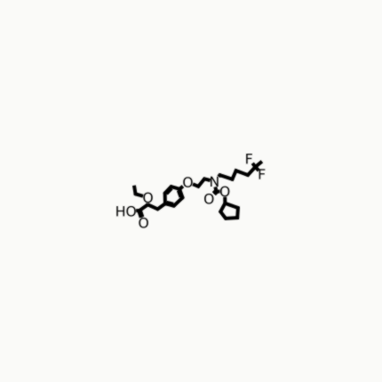 CCOC(Cc1ccc(OCCN(CCCCC(C)(F)F)C(=O)OC2CCCC2)cc1)C(=O)O